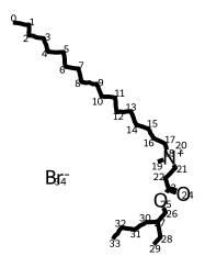 CCCCCCCCCCCCCCCCCC[N+](C)(C)CCC(=O)OCC(CC)CCCC.[Br-]